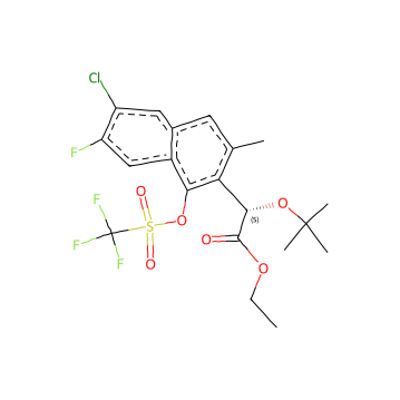 CCOC(=O)[C@@H](OC(C)(C)C)c1c(C)cc2cc(Cl)c(F)cc2c1OS(=O)(=O)C(F)(F)F